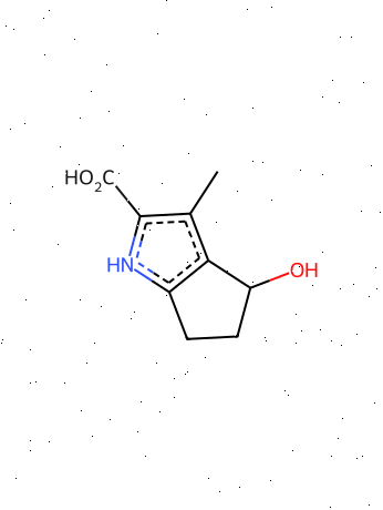 Cc1c(C(=O)O)[nH]c2c1C(O)CC2